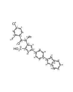 CC(C)N(C(=O)c1ccc(Cl)cc1F)c1cc(-c2ccc(-c3cc4ncccn4n3)cc2)sc1C(=O)O